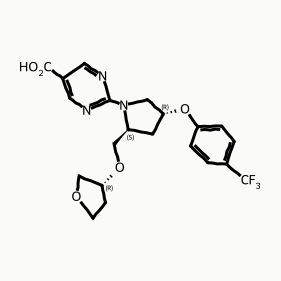 O=C(O)c1cnc(N2C[C@H](Oc3ccc(C(F)(F)F)cc3)C[C@H]2CO[C@@H]2CCOC2)nc1